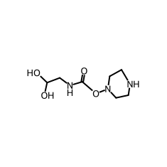 O=C(NCC(O)O)ON1CCNCC1